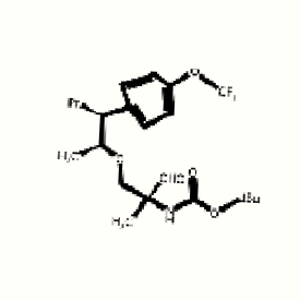 CC(C)[C@@H](c1ccc(OC(F)(F)F)cc1)[C@H](C)OC[C@](C)(C=O)NC(=O)OC(C)(C)C